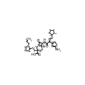 C=CCn1nnnc1SCC1(C(=O)O)CS[C@@H]2C(NC(=O)C(=NOC3CCCC3)c3nsc(N)n3)C(=O)N2C1